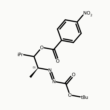 CC(C)C(OC(=O)c1ccc([N+](=O)[O-])cc1)[C@H](C)N=NC(=O)OC(C)(C)C